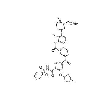 COC[C@H]1CN(c2ccc3c4c(c(=O)oc3c2C)CN(C(=O)c2ccc(C(=O)NS(=O)(=O)N3CCCC3)c(OC3CC5CC5C3)c2)CC4)CCN1C